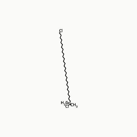 C[Si](C)(Cl)CCCCCCCCCCCCCCCCCCCCCCCCCCCCCCCl